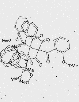 COOc1ccccc1C(=O)C(C(=O)c1ccccc1OOC)(C(=O)c1ccccc1OOC)C(C(=O)c1ccccc1OOC)(C(=O)c1ccccc1OOC)C(=O)c1ccccc1OOC